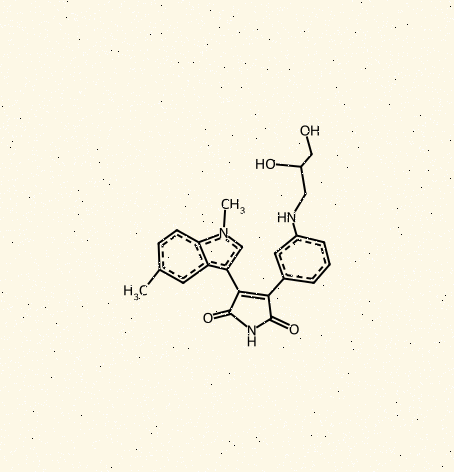 Cc1ccc2c(c1)c(C1=C(c3cccc(NCC(O)CO)c3)C(=O)NC1=O)cn2C